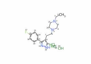 CCN1CCN(CCc2c[nH]nc2-c2ccc(F)cc2)CC1.Cl.Cl.Cl